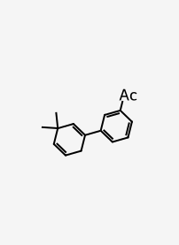 CC(=O)c1cccc(C2=CC(C)(C)C=CC2)c1